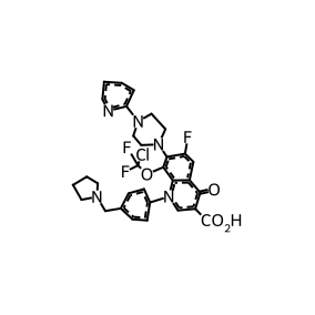 O=C(O)c1cn(-c2ccc(CN3CCCC3)cc2)c2c(OC(F)(F)Cl)c(N3CCN(c4ccccn4)CC3)c(F)cc2c1=O